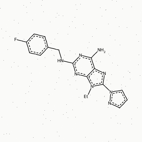 CCn1c(-n2cccn2)nc2c(N)nc(NCc3ccc(F)cc3)nc21